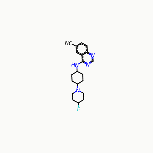 N#Cc1ccc2ncnc(NC3CCC(N4CCC(F)CC4)CC3)c2c1